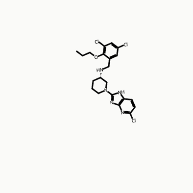 CCCOc1c(Cl)cc(Cl)cc1CN[C@H]1CCCN(c2nc3nc(Cl)ccc3[nH]2)C1